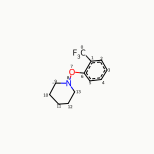 FC(F)(F)c1ccccc1ON1[CH]CCCC1